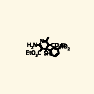 CCOC(=O)C1=C(N)N=C(C)C(C(=O)OCC)C1(S)c1cccc([N+](=O)[O-])c1